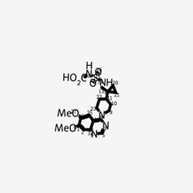 COc1cc2ncnc(N3CCC(C4(CNS(=O)(=O)NC(=O)O)CC4)CC3)c2cc1OC